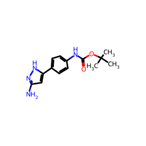 CC(C)(C)OC(=O)Nc1ccc(-c2cc(N)n[nH]2)cc1